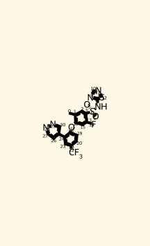 Cc1cc(S(=O)(=O)Nc2ncns2)c(F)cc1Oc1ccc(C(F)(F)F)cc1-c1ccnnc1